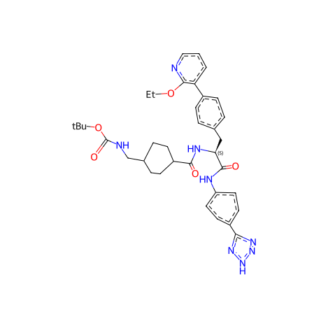 CCOc1ncccc1-c1ccc(C[C@H](NC(=O)C2CCC(CNC(=O)OC(C)(C)C)CC2)C(=O)Nc2ccc(-c3nn[nH]n3)cc2)cc1